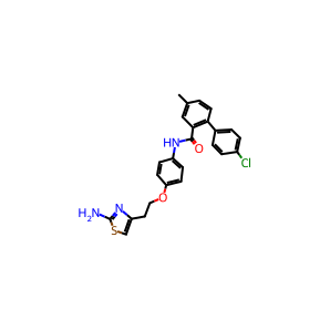 Cc1ccc(-c2ccc(Cl)cc2)c(C(=O)Nc2ccc(OCCc3csc(N)n3)cc2)c1